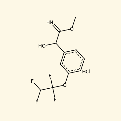 COC(=N)C(O)c1cccc(OC(F)(F)C(F)F)c1.Cl